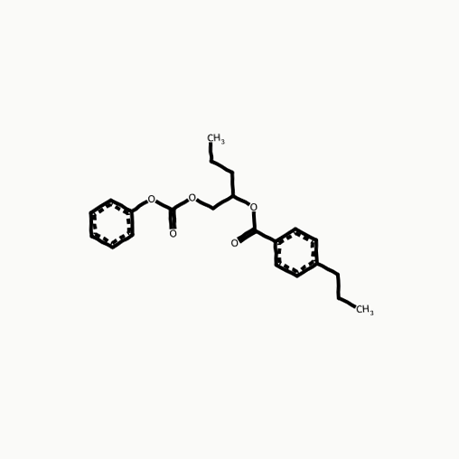 CCCc1ccc(C(=O)OC(CCC)COC(=O)Oc2ccccc2)cc1